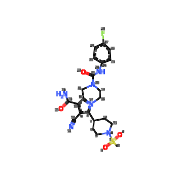 CS(=O)(=O)N1CCC(c2c(C#N)c(C(N)=O)c3n2CCN(C(=O)Nc2ccc(F)cc2)C3)CC1